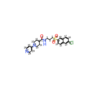 O=C(NCCCS(=O)(=O)c1ccc2cc(Cl)ccc2c1)C1CCN(c2ccncc2)CC1